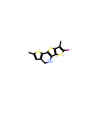 Cc1cc2c(s1)-c1sc3c(C)c(I)sc3c1NC2